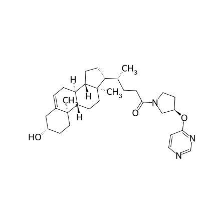 C[C@H](CCC(=O)N1CC[C@@H](Oc2ccncn2)C1)[C@H]1CC[C@H]2[C@@H]3CC=C4C[C@@H](O)CC[C@]4(C)[C@H]3CC[C@]12C